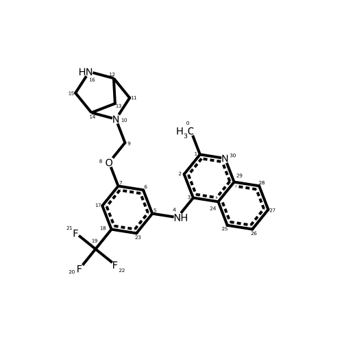 Cc1cc(Nc2cc(OCN3CC4CC3CN4)cc(C(F)(F)F)c2)c2ccccc2n1